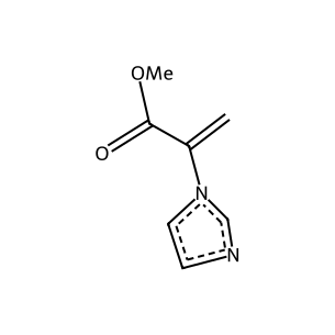 C=C(C(=O)OC)n1ccnc1